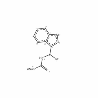 CCCCCCCCCC(=O)NC(C(C)=O)c1c[nH]c2ccccc12